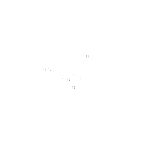 NC(=O)c1cccc(-c2ccccn2)c1-n1ccnn1